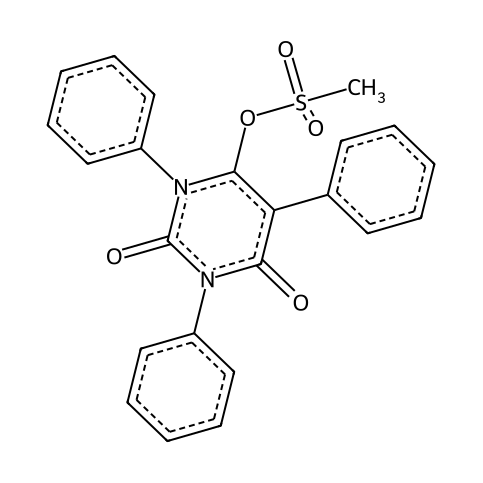 CS(=O)(=O)Oc1c(-c2ccccc2)c(=O)n(-c2ccccc2)c(=O)n1-c1ccccc1